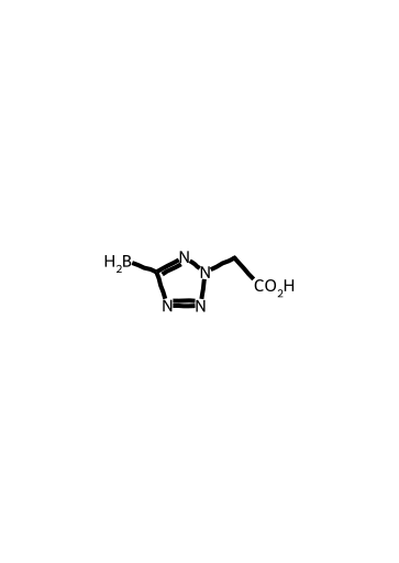 Bc1nnn(CC(=O)O)n1